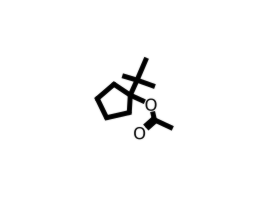 CC(=O)OC1(C(C)(C)C)CCCC1